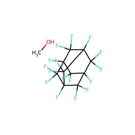 CO.FC1(F)C2(F)C(F)(F)C3(F)C(F)(F)C1(F)C(F)(F)C(F)(C2(F)F)C3(F)F